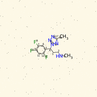 CNCCC(c1cc(F)c(F)cc1F)n1nnc(C)n1